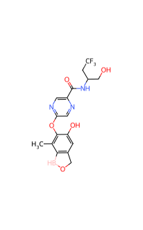 Cc1c2c(cc(O)c1Oc1cnc(C(=O)NC(CO)CC(F)(F)F)cn1)COB2